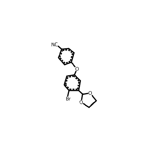 N#Cc1ccc(Oc2ccc(Br)c(C3OCCO3)c2)cc1